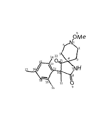 CON1CCC2(CC1)NC(=O)C(C)(c1c(C)cc(C)cc1C)C2=O